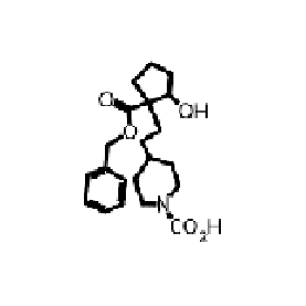 O=C(O)N1CCC(CCC2(C(=O)OCc3ccccc3)CCCC2O)CC1